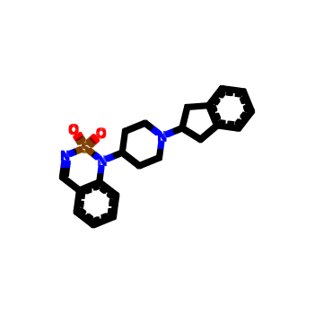 O=S1(=O)N=Cc2ccccc2N1C1CCN(C2Cc3ccccc3C2)CC1